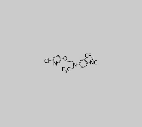 [C-]#[N+]c1ccc(N(CCOc2ccc(Cl)nc2)CC(F)(F)F)cc1C(F)(F)F